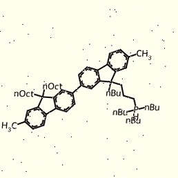 CCCCCCCCC1(CCCCCCCC)c2cc(C)ccc2-c2ccc(-c3ccc4c(c3)C(CCCC)(CCC[PH](CCCC)(CCCC)CCCC)c3cc(C)ccc3-4)cc21